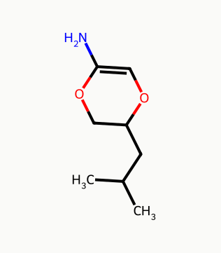 CC(C)CC1COC(N)=CO1